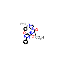 CCOC(=O)N1CCN(C(=O)[C@H](CCC(=O)O)NC(=O)c2cc(OC3CCCC3)nc(-c3ccccc3)n2)CC1